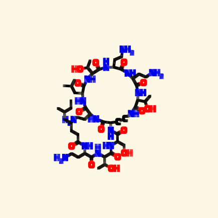 CCC(C)CCCCC(=O)NC(CCN)C(=O)NC(C(=O)NC(CO)C(=O)NC1CCNC(=O)C(C(C)O)NC(=O)C(CCN)NC(=O)C(CCN)NC(=O)C(C(C)O)NC(=O)C(CC(C)C)NC(=O)C(CCN)NC1=O)C(C)O